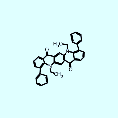 CCn1c2cc3c(=O)c4cccc(-c5ccccc5)c4n(CC)c3cc2c(=O)c2cccc(-c3ccccc3)c21